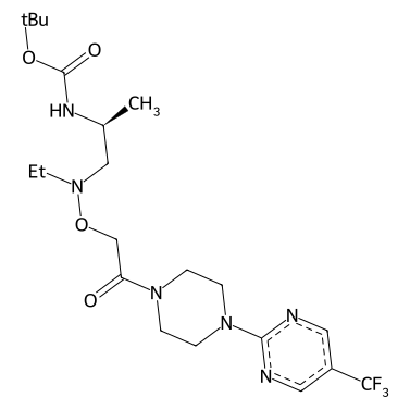 CCN(C[C@H](C)NC(=O)OC(C)(C)C)OCC(=O)N1CCN(c2ncc(C(F)(F)F)cn2)CC1